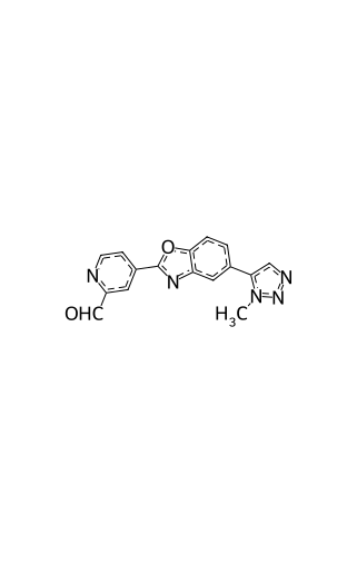 Cn1nncc1-c1ccc2oc(-c3ccnc(C=O)c3)nc2c1